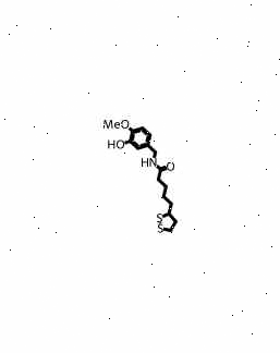 COc1ccc(CNC(=O)CCCCC2CCSS2)cc1O